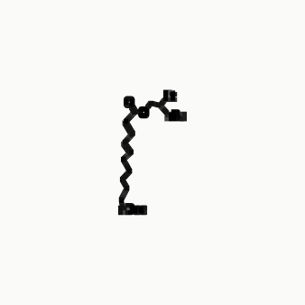 CCCCCCCCCCCCCCCC=CC=CC(=O)OCC(CC)CCCC